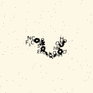 CCc1cc(N2C(=S)N(c3ccc(C#N)c(C(F)(F)F)c3)C(=O)C2(C)C)ccc1OCCN1C[C@H](C)N(CC(=O)Nc2cc(Cl)cc(NC3CCC(=O)NC3=O)c2)C[C@H]1C